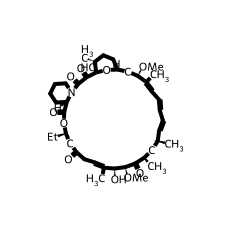 CC[C@@H]1CC(=O)C/C=C(\C)[C@@H](O)[C@@H](OC)C(=O)[C@H](C)C[C@H](C)/C=C/C=C/C=C(\C)[C@@H](OC)C[C@@H]2CC[C@@H](C)[C@@](O)(O2)C(=O)C(=O)N2CCCC[C@H]2C(=O)O1